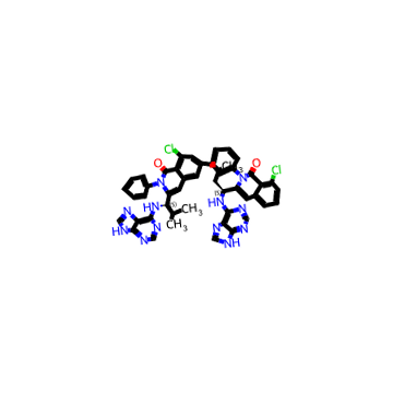 CC(Cc1cc(Cl)c2c(=O)n(-c3ccccc3)c([C@@H](Nc3ncnc4[nH]cnc34)C(C)C)cc2c1)C[C@H](Nc1ncnc2[nH]cnc12)c1cc2cccc(Cl)c2c(=O)n1-c1ccccc1